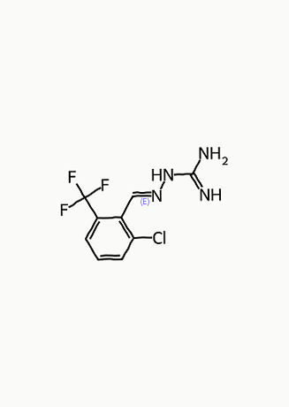 N=C(N)N/N=C/c1c(Cl)cccc1C(F)(F)F